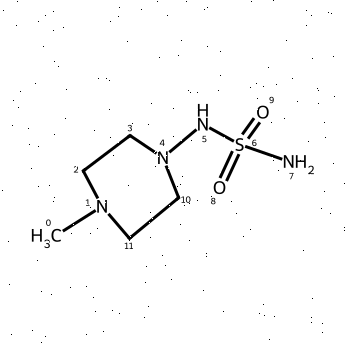 CN1CCN(NS(N)(=O)=O)CC1